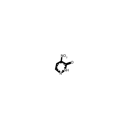 O=c1[nH]nccc1[N+](=O)[O-]